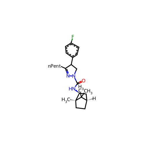 CCCCCC1=NN(C(=O)N[C@H]2C[C@H]3CC[C@]2(C)C3(C)C)CC1c1ccc(F)cc1